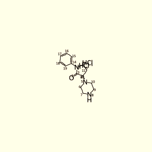 Cl.Cl.O=C1[C@H](N2CCNCC2)CCN1c1ccccc1